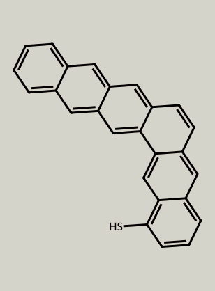 Sc1cccc2cc3ccc4cc5cc6ccccc6cc5cc4c3cc12